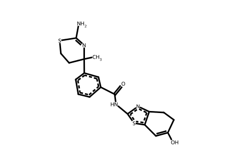 CC1(c2cccc(C(=O)Nc3nc4c(s3)C=C(O)CC4)c2)CCSC(N)=N1